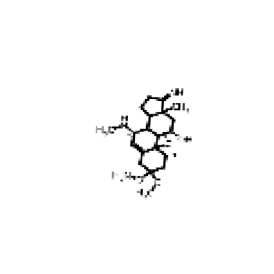 CN[C@@H]1C=C2CC(OC)(ON)CCC2(C)C2C1C1CCC(=N)C1(C)C[C@H]2O